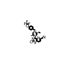 CC[C@@H]1CN(c2nc(=O)n(C)c3ccc(C#N)nc23)[C@@H](C)CN1Cc1ccc(OC(F)(F)F)cc1